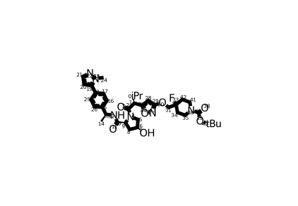 CC(C)[C@@H](C(=O)N1C[C@H](O)C[C@H]1C(=O)N[C@@H](C)c1ccc(-c2ccnn2C)cc1)c1cc(OCC2(F)CCN(C(=O)OC(C)(C)C)CC2)no1